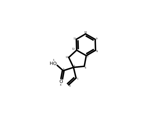 C=CC1(C(=O)O)Cc2ccccc2C1